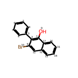 Oc1c(-c2ccccc2)c(Br)cc2ccccc12